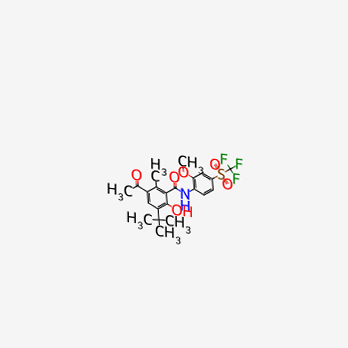 COc1cc(S(=O)(=O)C(F)(F)F)ccc1NC(=O)c1c(C)c(C(C)=O)cc(C(C)(C)C)c1O